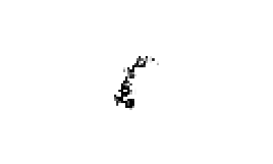 Cc1noc(-c2ccccc2)c1-c1cc(Cl)c2c(c1)CC(CNC(=O)C=Cc1ccc(N)nc1)O2